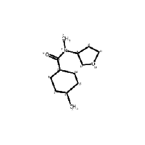 CC1CCC(C(=O)N(C)C2CCOC2)CC1